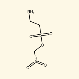 NCCS(=O)(=O)OC[SH](=O)=O